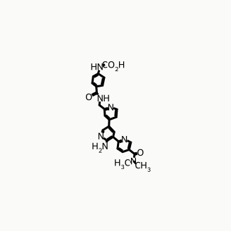 CN(C)C(=O)c1ccc(-c2cc(-c3ccnc(CNC(=O)c4ccc(NC(=O)O)cc4)c3)cnc2N)nc1